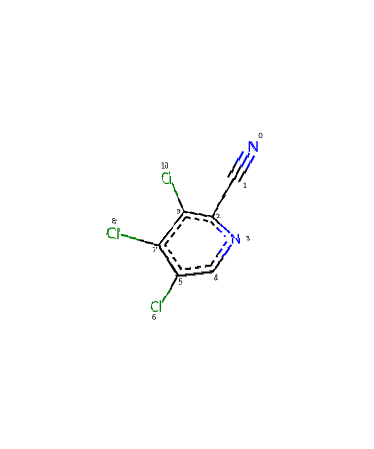 N#Cc1ncc(Cl)c(Cl)c1Cl